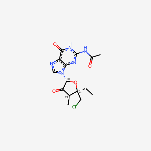 CC[C@@]1(CCl)O[C@@H](n2cnc3c(=O)[nH]c(NC(C)=O)nc32)C(=O)[C@@H]1C